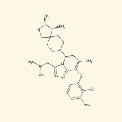 Cc1cc(N2CCC3(CC2)CO[C@@H](C)[C@H]3N)n2c(CN(C)C)nnc2c1Sc1ccnc(N)c1Cl